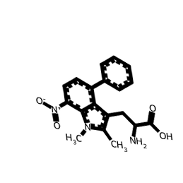 Cc1c(CC(N)C(=O)O)c2c(-c3ccccc3)ccc([N+](=O)[O-])c2n1C